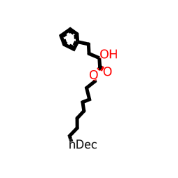 CCCCCCCCCCCCCCCCCCOC(=O)C(O)CCc1ccccc1